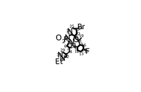 CCn1cc(Cc2cc(F)nn2-c2ccc(F)cc2C(C)Oc2cc(Br)cnc2[N+](=O)[O-])cn1